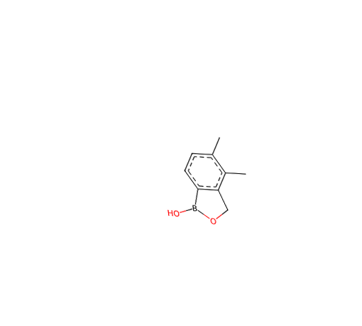 Cc1ccc2c(c1C)COB2O